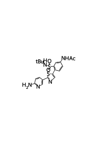 CC(=O)Nc1ccc(-c2cnc(-c3ccc(N)nc3)s2)c(S(=O)(=O)NC(C)(C)C)c1